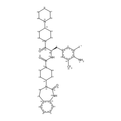 Nc1c(I)cc(C[C@@H](NC(=O)N2CCC(N3CCc4ccccc4NC3=O)CC2)C(=O)N2CCC(N3CCCCC3)CC2)cc1C(F)(F)F